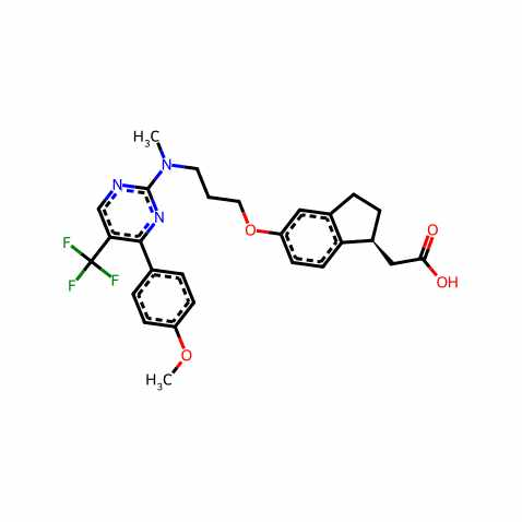 COc1ccc(-c2nc(N(C)CCCOc3ccc4c(c3)CC[C@H]4CC(=O)O)ncc2C(F)(F)F)cc1